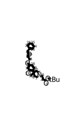 CC(C)(C)OC(=O)CCN1CCC2(CC1)COc1cc(OCCOCc3ccccc3)ccc12